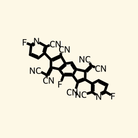 N#CC(C#N)=C1C(c2ccc(F)nc2C#N)=C(C#N)c2c1cc1c(c2F)C(=C(C#N)C#N)C(c2ccc(F)nc2C#N)=C1C#N